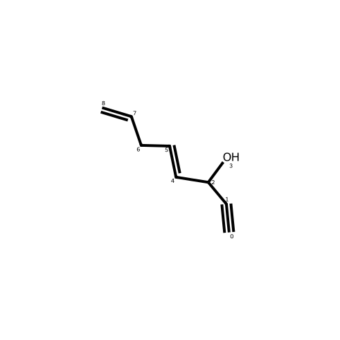 C#CC(O)C=CCC=C